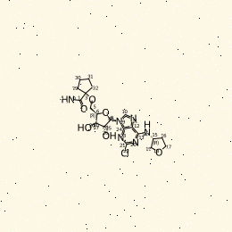 [NH]C(=O)C1(OC[C@H]2O[C@@H](n3cnc4c(N[C@@H]5CCOC5)nc(Cl)nc43)[C@H](O)[C@H]2O)CCCC1